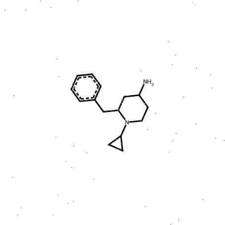 NC1CCN(C2CC2)C(Cc2ccccc2)C1